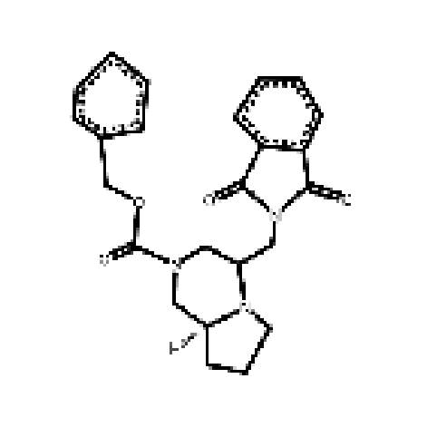 O=C(OCc1ccccc1)N1CC(CN2C(=O)c3ccccc3C2=O)N2CCC[C@H]2C1